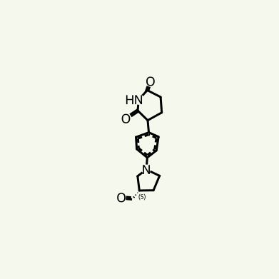 O=C[C@H]1CCN(c2ccc(C3CCC(=O)NC3=O)cc2)C1